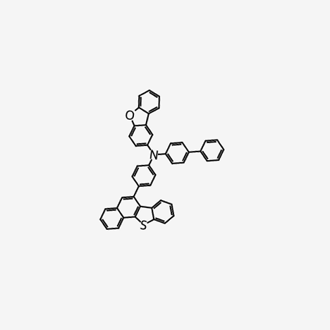 c1ccc(-c2ccc(N(c3ccc(-c4cc5ccccc5c5sc6ccccc6c45)cc3)c3ccc4oc5ccccc5c4c3)cc2)cc1